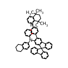 CC1(C)CCC(C)(C)c2c(-c3ccc(-c4cc5c(cc4N(c4ccccc4)c4ccc6c(c4)CCCC6)C4(c6ccccc6-c6ccccc64)c4ccccc4-5)cc3)cccc21